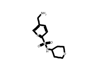 NCc1ccc(S(=O)(=O)NC2CCOCC2)nc1